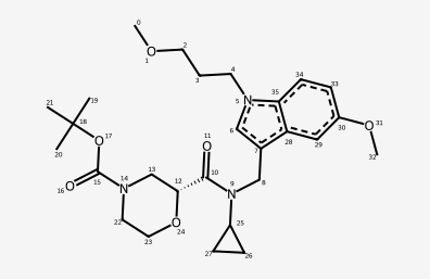 COCCCn1cc(CN(C(=O)[C@H]2CN(C(=O)OC(C)(C)C)CCO2)C2CC2)c2cc(OC)ccc21